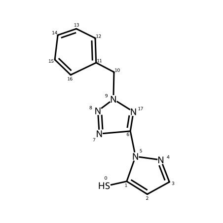 Sc1ccnn1-c1nnn(Cc2ccccc2)n1